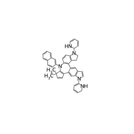 CC1(C)C=CC2=C1N(c1ccc3ccccc3c1)c1ccc3c(c1-c1cc4ccn(C5=CC=CCN5)c4cc12)CCN3C1C=CC=CN1